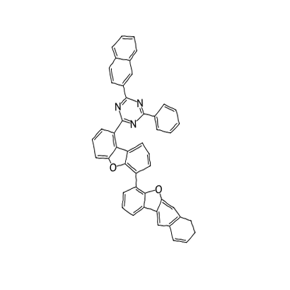 C1=Cc2cc3c(cc2CC1)oc1c(-c2cccc4c2oc2cccc(-c5nc(-c6ccccc6)nc(-c6ccc7ccccc7c6)n5)c24)cccc13